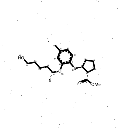 COC(=O)[C@H]1CCC[C@@H]1Sc1ccc(C)cc1O[C@H](C)CCCCO